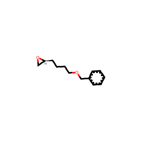 c1ccc(COCCCC[C@H]2CO2)cc1